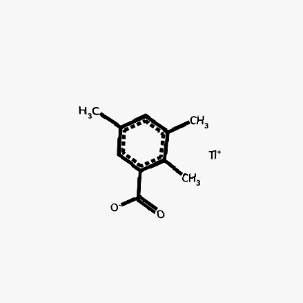 Cc1cc(C)c(C)c(C(=O)[O-])c1.[Tl+]